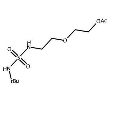 CC(=O)OCCOCCNS(=O)(=O)NC(C)(C)C